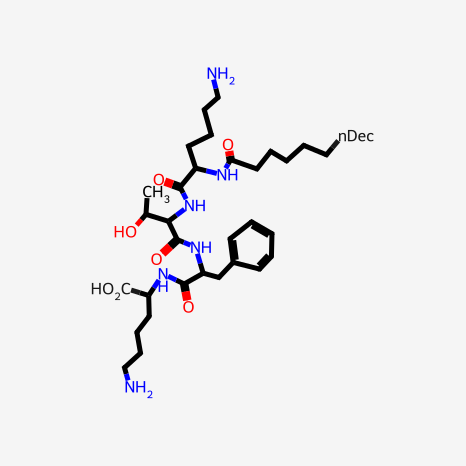 CCCCCCCCCCCCCCCC(=O)NC(CCCCN)C(=O)NC(C(=O)NC(Cc1ccccc1)C(=O)NC(CCCCN)C(=O)O)C(C)O